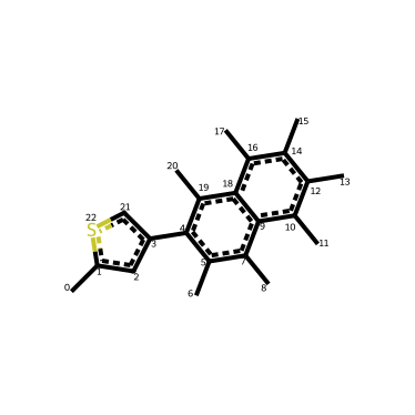 Cc1cc(-c2c(C)c(C)c3c(C)c(C)c(C)c(C)c3c2C)cs1